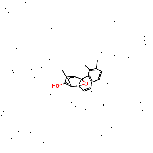 CC1=C2CC(=C1O)C13C=Cc4ccc(C)c(C)c4C21O3